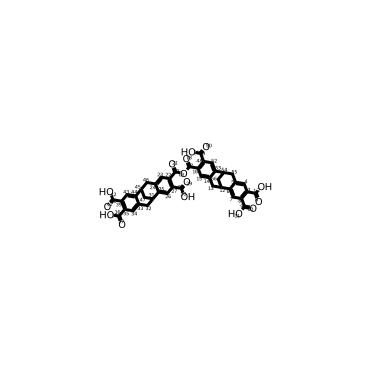 O=C(O)c1cc2c(cc1C(=O)O)C1Cc3cc(C(=O)OC(=O)c4cc5c(cc4C(=O)O)C4Cc6cc(C(=O)O)c(C(=O)O)cc6C(C5)C4)c(C(=O)O)cc3C(C2)C1